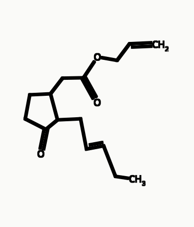 C=CCOC(=O)CC1CCC(=O)C1CC=CCC